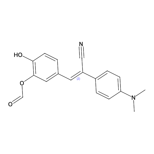 CN(C)c1ccc(/C(C#N)=C/c2ccc(O)c(OC=O)c2)cc1